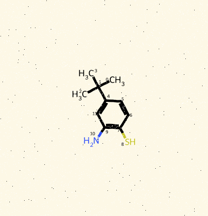 CC(C)(C)c1ccc(S)c(N)c1